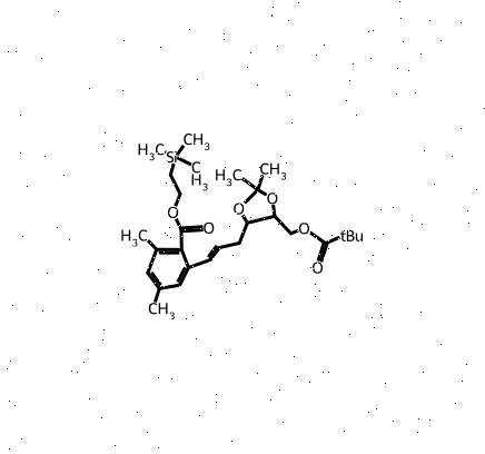 Cc1cc(C)c(C(=O)OCC[Si](C)(C)C)c(/C=C/CC2OC(C)(C)OC2COC(=O)C(C)(C)C)c1